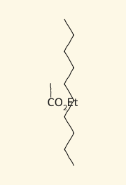 CCCCCCCCCC.CCOC(C)=O